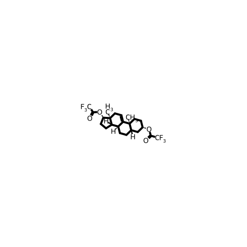 C[C@]12CC=C3[C@@H](CC[C@H]4C[C@@H](OC(=O)C(F)(F)F)CC[C@]34C)[C@@H]1CC[C@@H]2OC(=O)C(F)(F)F